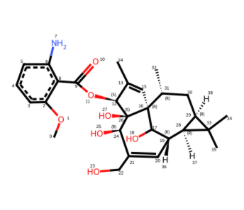 COc1cccc(N)c1C(=O)O[C@H]1C(C)=C[C@]23C(O)[C@@H](C=C(CO)[C@@H](O)[C@]12O)[C@H]1[C@@H](C[C@H]3C)C1(C)C